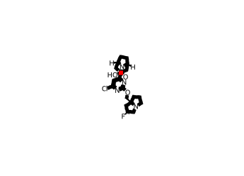 O=C(O)N1[C@@H]2CC[C@H]1CN(c1cc(Cl)nc(OC[C@@]34CCCN3C[C@H](F)C4)n1)C2